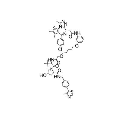 Cc1ncsc1-c1ccc(CNC(=O)[C@@H]2C[C@@H](O)CN2C(=O)C(NC(=O)COCCCCCOc2cccc(NC(=O)C[C@@H]3N=C(c4ccc(Cl)cc4)c4c(sc(C)c4C)-n4c(C)nnc43)c2)C(C)(C)C)cc1